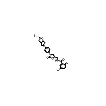 CN1CC2CN(c3ccc(N4CC(CNC(=O)C5=CC(Cl)=CCC5=S)OC4=O)cc3)CC2O1